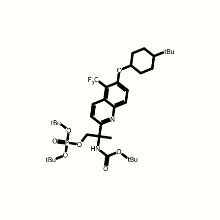 CC(C)(C)OC(=O)NC(C)(COP(=O)(OC(C)(C)C)OC(C)(C)C)c1ccc2c(C(F)(F)F)c(OC3CCC(C(C)(C)C)CC3)ccc2n1